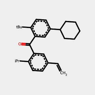 C=Cc1ccc(C(C)C)c(C(=O)c2cc(C3CCCCC3)ccc2C(C)(C)C)c1